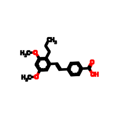 CCCc1c(C=Cc2ccc(C(=O)O)cc2)cc(OC)cc1OC